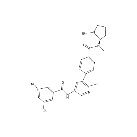 CCN1CCC[C@H]1N(C)C(=O)c1ccc(-c2cc(NC(=O)c3cc(C#N)cc(C(C)(C)C)c3)cnc2C)cc1